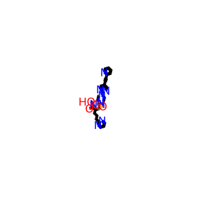 O=C(NO)C(CCCc1ncccn1)CS(=O)(=O)N1CCN(c2ncc(C#Cc3ccccn3)cn2)CC1